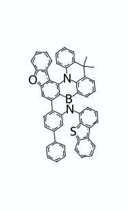 CC1(C)c2ccccc2N2c3c(cccc31)B1c3c(cc4oc5ccccc5c4c32)-c2ccc(-c3ccccc3)cc2N1c1cccc2c1sc1ccccc12